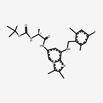 Cc1cc(F)cc(C)c1CNc1cc(NC(=O)[C@H](C)NC(=O)OC(C)(C)C)cn2c(C)c(C)nc12